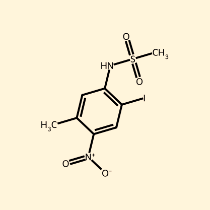 Cc1cc(NS(C)(=O)=O)c(I)cc1[N+](=O)[O-]